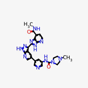 CNC(=O)c1ccnc2[nH]c(-c3n[nH]c4ncc(-c5cncc(NC(=O)N6CCN(C)CC6)c5)cc34)nc12